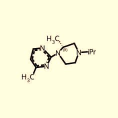 Cc1ccnc(N2CCN(C(C)C)C[C@H]2C)n1